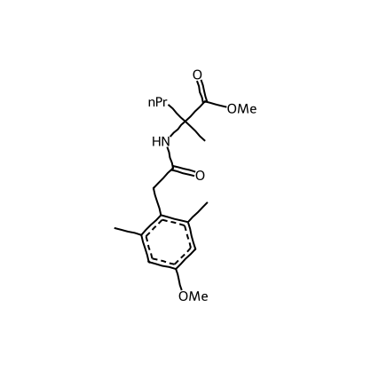 CCCC(C)(NC(=O)Cc1c(C)cc(OC)cc1C)C(=O)OC